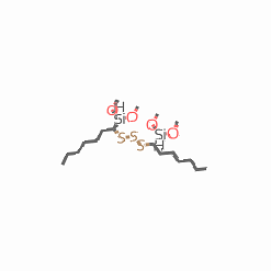 CCCCCCC(SSSC(CCCCCC)[SiH](OC)OC)[SiH](OC)OC